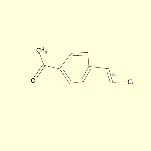 CC(=O)c1ccc(/C=C/Cl)cc1